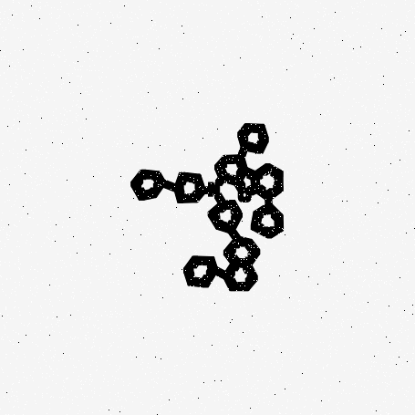 c1ccc(-c2ccc(N(c3ccc(-c4ccc5cccc(-c6ccccc6)c5c4)cc3)c3ccc(-c4ccccc4)c4c3oc3c(-c5ccccc5)cccc34)cc2)cc1